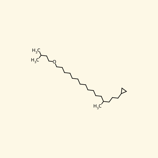 CC(C)CCOCCCCCCCCCCCCC(C)CCCC1CC1